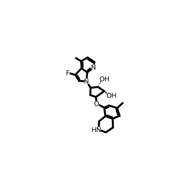 Cc1cc2c(c(OC3CC(n4cc(F)c5c(C)ccnc54)[C@H](O)[C@@H]3O)c1)CNCC2